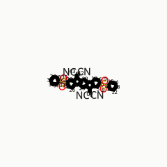 N#CC(C#N)=C1c2cc(S(=O)(=O)c3ccccc3)ccc2-c2cc3c(cc21)-c1ccc(S(=O)(=O)c2ccccc2)cc1C3=C(C#N)C#N